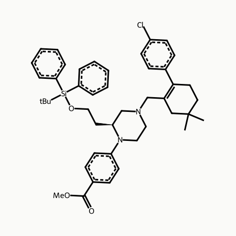 COC(=O)c1ccc(N2CCN(CC3=C(c4ccc(Cl)cc4)CCC(C)(C)C3)C[C@@H]2CCO[Si](c2ccccc2)(c2ccccc2)C(C)(C)C)cc1